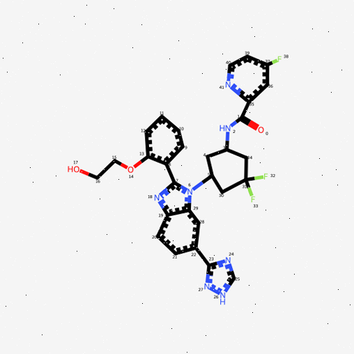 O=C(NC1CC(n2c(-c3ccccc3OCCO)nc3ccc(-c4nc[nH]n4)cc32)CC(F)(F)C1)c1cc(F)ccn1